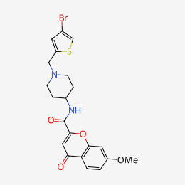 COc1ccc2c(=O)cc(C(=O)NC3CCN(Cc4cc(Br)cs4)CC3)oc2c1